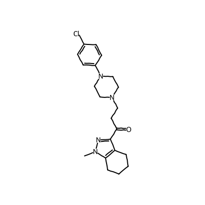 Cn1nc(C(=O)CCN2CCN(c3ccc(Cl)cc3)CC2)c2c1CCCC2